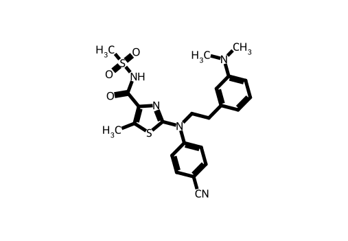 Cc1sc(N(CCc2cccc(N(C)C)c2)c2ccc(C#N)cc2)nc1C(=O)NS(C)(=O)=O